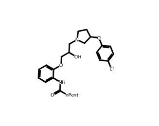 CCCCCC(=O)Nc1ccccc1OCC(O)CN1CCC(Oc2ccc(Cl)cc2)C1